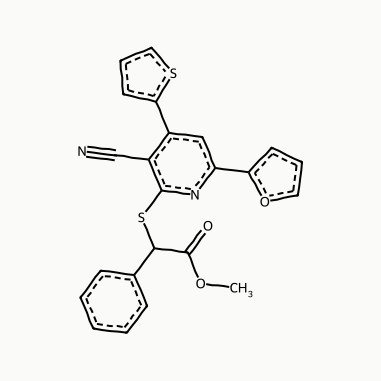 COC(=O)C(Sc1nc(-c2ccco2)cc(-c2cccs2)c1C#N)c1ccccc1